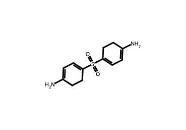 NC1=CC=C(S(=O)(=O)C2=CC=C(N)CC2)CC1